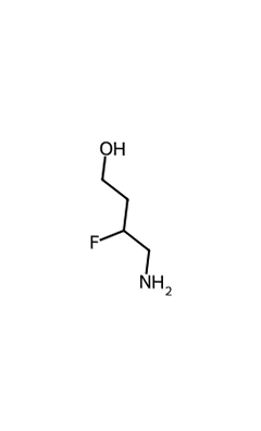 NCC(F)CCO